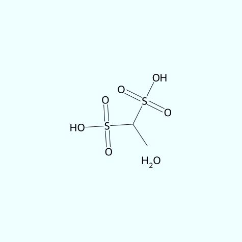 CC(S(=O)(=O)O)S(=O)(=O)O.O